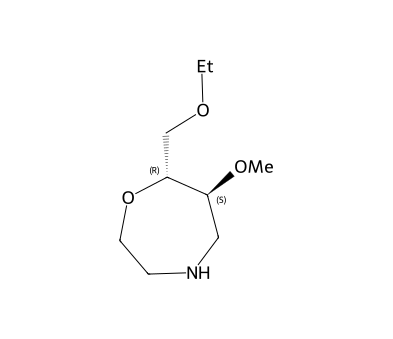 CCOC[C@H]1OCCNC[C@@H]1OC